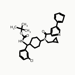 CC(C)(C)OC(=O)NC(c1cccc(Cl)c1)C1CCC(N(CC2CC2)C(=O)c2cncc(-c3ccccc3)c2)CC1